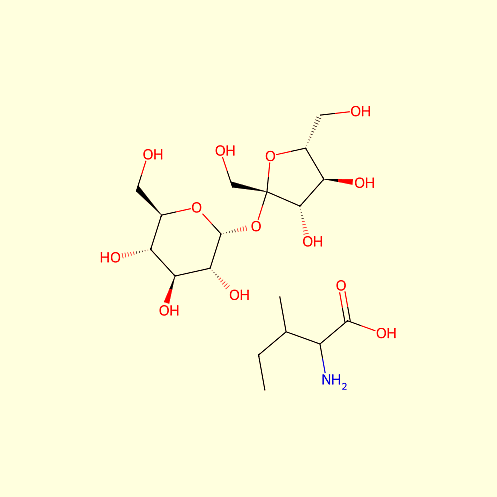 CCC(C)C(N)C(=O)O.OC[C@H]1O[C@@](CO)(O[C@H]2O[C@H](CO)[C@@H](O)[C@H](O)[C@H]2O)[C@@H](O)[C@@H]1O